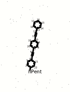 CCCCCc1ccc(C#Cc2ccc(C#Cc3ccccc3)cc2)cc1